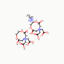 N.N.O=C([O-])C[N+]1(CC(=O)[O-])CC(=O)OCCOC(=O)C1.O=C([O-])C[N+]1(CC(=O)[O-])CC(=O)OCCOC(=O)C1.[Fe].[NaH]